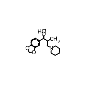 CC(CN1CCCCC1)C(=O)c1ccc2c(c1)OCO2.Cl